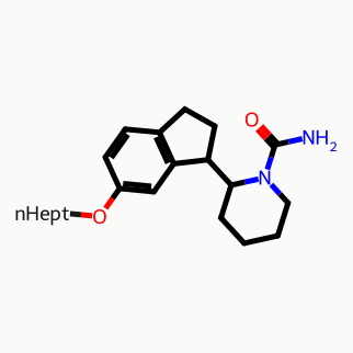 CCCCCCCOc1ccc2c(c1)C(C1CCCCN1C(N)=O)CC2